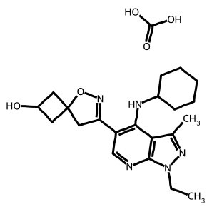 CCn1nc(C)c2c(NC3CCCCC3)c(C3=NOC4(C3)CC(O)C4)cnc21.O=C(O)O